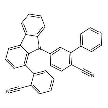 N#Cc1ccc(-n2c3ccccc3c3cccc(-c4ccccc4C#N)c32)cc1-c1ccncc1